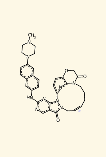 CN1CCN(c2ccc3cc(Nc4ncc5c(=O)n6n(c5n4)-c4ccc5c(n4)N(CCC/C=C\C6)C(=O)CO5)ccc3c2)CC1